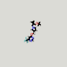 CC(C)(C)OCC1(CN2CC[C@@H](COc3cc(C(F)(F)F)ncn3)C2)CC1